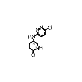 O=C1CC[C@@H](Nc2ccc(Cl)nn2)CN1